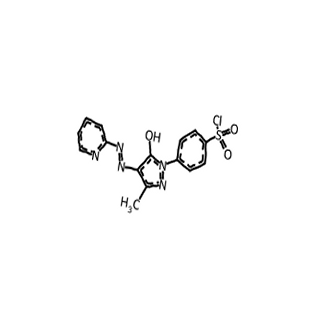 Cc1nn(-c2ccc(S(=O)(=O)Cl)cc2)c(O)c1N=Nc1ccccn1